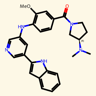 COc1cc(C(=O)N2CC[C@@H](N(C)C)C2)ccc1Nc1cncc(-c2cc3ccccc3[nH]2)c1